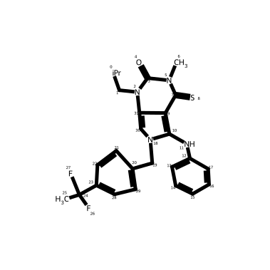 CC(C)Cn1c(=O)n(C)c(=S)c2c(Nc3ccccc3)n(Cc3ccc(C(C)(F)F)cc3)cc21